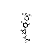 C[Si]1(C)CCN(c2c(F)cc(N3C[C@H](CNC(=O)O)OC3=O)cc2F)CC1